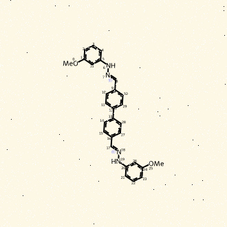 COc1cccc(N/N=C/c2ccc(-c3ccc(/C=N/Nc4cccc(OC)c4)cc3)cc2)c1